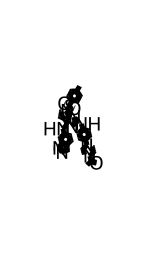 CC(=O)N1CCN(c2ccc(Nc3nc(Nc4ccc5cnn(C)c5c4)c4ccn(S(=O)(=O)c5ccc(C)cc5)c4n3)cc2)CC1